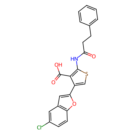 O=C(CCc1ccccc1)Nc1scc(-c2cc3cc(Cl)ccc3o2)c1C(=O)O